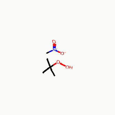 CC(C)(C)OO.C[N+](=O)[O-]